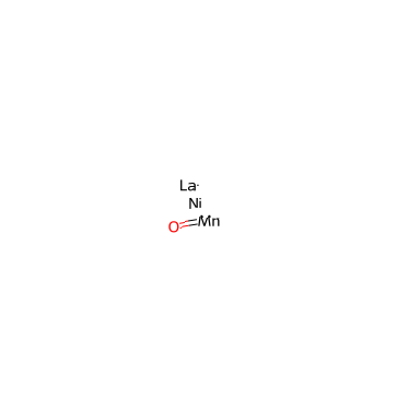 [La].[Ni].[O]=[Mn]